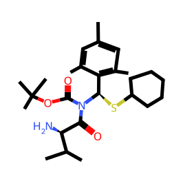 Cc1cc(C)c([C@@H](SC2CCCCC2)N(C(=O)OC(C)(C)C)C(=O)[C@H](N)C(C)C)c(C)c1